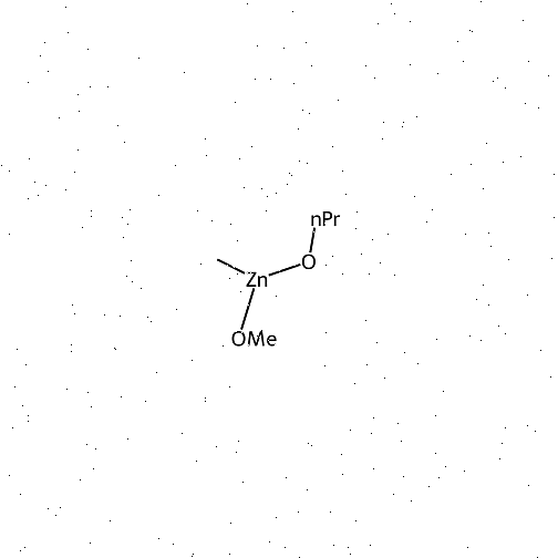 CCC[O][Zn]([CH3])[O]C